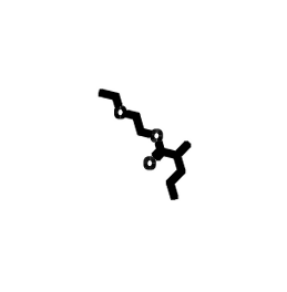 CCCC(C)C(=O)OCCOCC